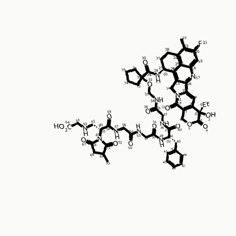 CC[C@@]1(O)C(=O)OCc2c1cc1n(c2=O)Cc2c-1nc1cc(F)c(C)c3c1c2[C@@H](NC(=O)C1(OCNC(=O)CNC(=O)[C@H](Cc2ccccc2)NC(=O)CNC(=O)CNC(=O)[C@@H](CNCC(=O)O)N2C(=O)CC(C)C2=O)CCCC1)CC3